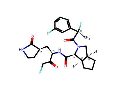 C[C@](F)(C(=O)N1C[C@H]2CCC[C@H]2[C@H]1C(=O)N[C@H](C[C@H]1CCNC1=O)C(=O)CF)c1cccc(F)c1